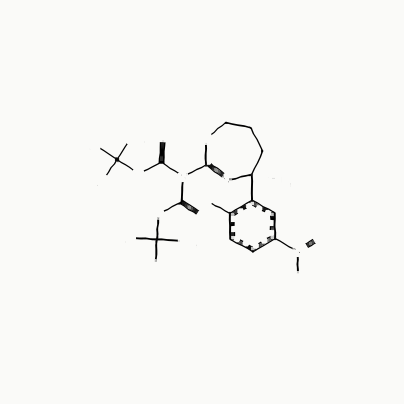 CC(C)(C)OC(=O)N(C(=O)OC(C)(C)C)C1=N[C@](C)(c2cc([N+](=O)[O-])ccc2F)CCCO1